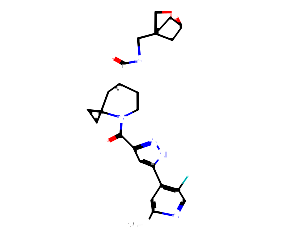 COc1cc(-c2cc(C(=O)N3CC[C@@H](C(=O)NCC45COC(C4)C5)CC34CC4)n[nH]2)c(F)cn1